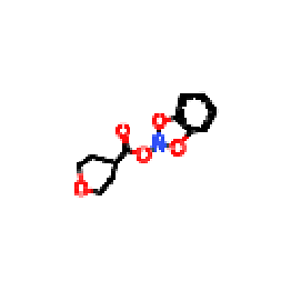 O=C(ON1Oc2ccccc2O1)C1CCOCC1